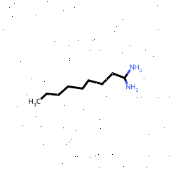 CCCCCCCCC(N)N